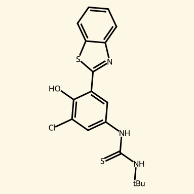 CC(C)(C)NC(=S)Nc1cc(Cl)c(O)c(-c2nc3ccccc3s2)c1